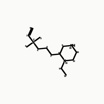 C=C[Si](C)(C)CCCC1CNCCN1CC